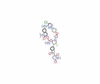 CNC(=O)COc1cc2cc(Nc3nc(N4CCC(OC5CC(N6CC[C@H](c7ccc8c(c7)CN(C7CCC(=O)NC7=O)C8=O)[C@H](F)C6)C5)CC4)ncc3Cl)ccc2n(C(C)C)c1=O